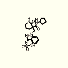 NC1=NS(=O)(=O)Nc2cccc(OCC3(C(=O)NC4CCCC4)CCCNC3=O)c21